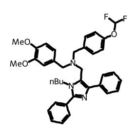 CCCCn1c(-c2ccccc2)nc(-c2ccccc2)c1CN(Cc1ccc(OC(F)F)cc1)Cc1ccc(OC)c(OC)c1